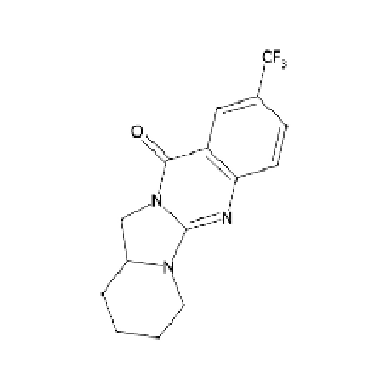 O=c1c2cc(C(F)(F)F)ccc2nc2n1CC1CCCCN21